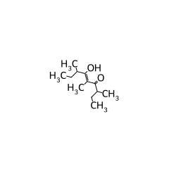 CCC(C)C(=O)/C(C)=C(\O)C(C)CC